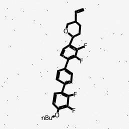 C=CC1CCC(c2ccc(-c3ccc(-c4ccc(OCCCC)c(F)c4F)cc3)c(F)c2F)OC1